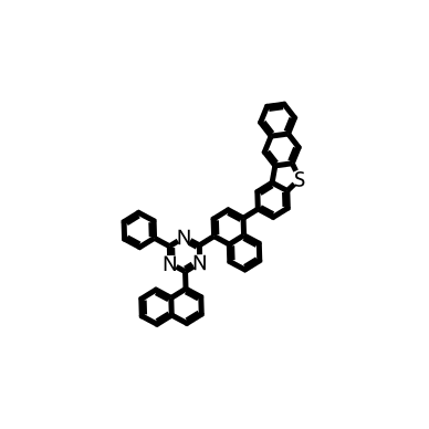 c1ccc(-c2nc(-c3cccc4ccccc34)nc(-c3ccc(-c4ccc5sc6cc7ccccc7cc6c5c4)c4ccccc34)n2)cc1